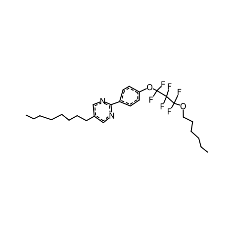 CCCCCCCCc1cnc(-c2ccc(OC(F)(F)C(F)(F)C(F)(F)OCCCCCC)cc2)nc1